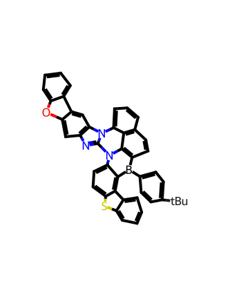 CC(C)(C)c1ccc(B2c3c(ccc4sc5ccccc5c34)-n3c4c2ccc2cccc(c24)n2c4cc5c(cc4nc32)oc2ccccc25)cc1